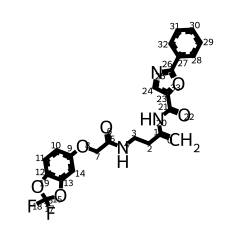 C=C(CCNC(=O)COc1ccc2c(c1)OC(F)(F)O2)NC(=O)c1cnc(-c2ccccc2)o1